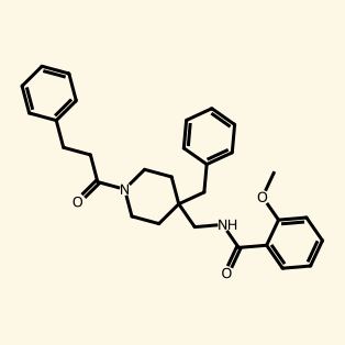 COc1ccccc1C(=O)NCC1(Cc2ccccc2)CCN(C(=O)CCc2ccccc2)CC1